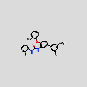 Cc1ccccc1NC(=O)Nc1cc(-c2cc(Cl)cc(C(=O)O)c2)ccc1Oc1ccccc1C(C)(C)C